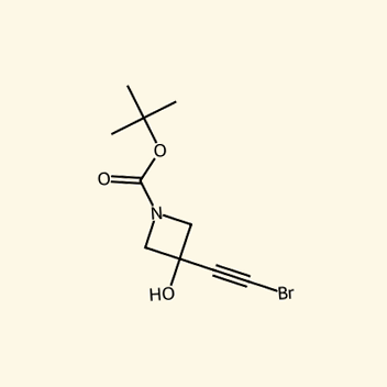 CC(C)(C)OC(=O)N1CC(O)(C#CBr)C1